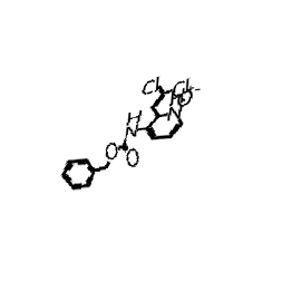 O=C(NC1=CC=C[NH+]([O-])C1C=C(Cl)Cl)OCc1ccccc1